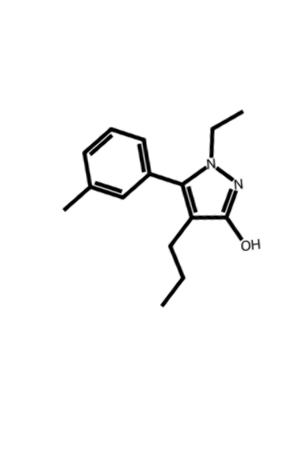 CCCc1c(O)nn(CC)c1-c1cccc(C)c1